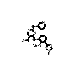 COc1c(Nc2nc(Nc3cccnc3)ncc2C(N)=O)cccc1-c1ncn(C)n1